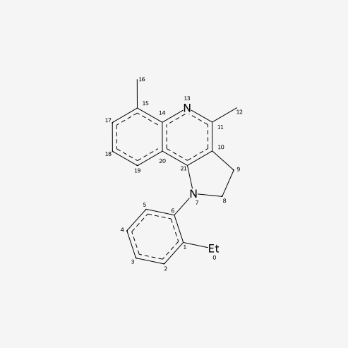 CCc1ccccc1N1CCc2c(C)nc3c(C)cccc3c21